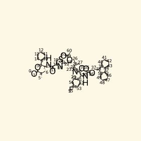 COC(=O)[C@@H](C)C[C@H](Cc1ccccc1)NC(=O)c1csc([C@@H](C[C@H](C(C)C)N(C)C(=O)[C@@H](NC(=O)OCC2c3ccccc3-c3ccccc32)c2ccc(F)cc2)OC(C)=O)n1